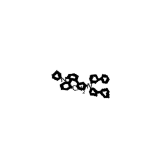 C=C1CC=Cc2c1c1c(-c3cccc(N(C4=CC(c5ccccc5)CC=C4)c4cccc(-c5ccccc5)c4)c3)cccc1n2-c1ccccc1